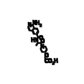 CC(NC(=O)c1ccc2c(N)nccc2c1)C(=O)N1CCC(OCC(=O)O)CC1